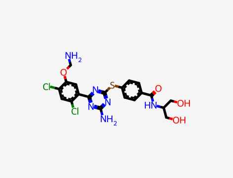 NCOc1cc(-c2nc(N)nc(Sc3ccc(C(=O)NC(CO)CO)cc3)n2)c(Cl)cc1Cl